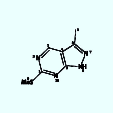 CSc1ncc2c(C)n[nH]c2n1